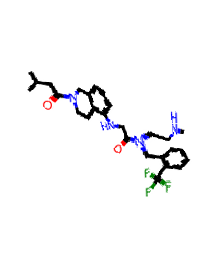 CNCCN(Cc1ccccc1C(F)(F)F)C(=O)CNc1cccc2c1CCN(C(=O)CC(C)C)C2